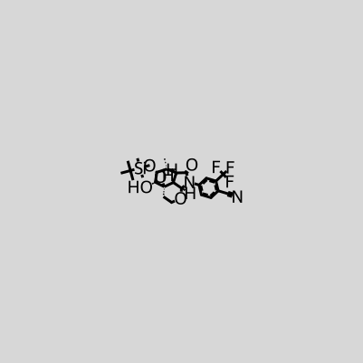 CC(C)(C)[Si](C)(C)O[C@@H]1[C@@H](O)[C@]23CCO[C@@H]4[C@H]2[C@@H](C(=O)N4c2ccc(C#N)c(C(F)(F)F)c2)[C@@]1(C)O3